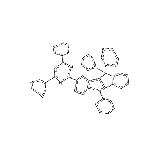 c1ccc(-c2cc(-c3ccccc3)nc(-c3ccc4c(c3)c3c(n4-c4ccccc4)-c4ccccc4C3(c3ccccc3)c3ccccc3)n2)cc1